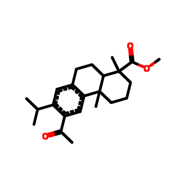 COC(=O)C1(C)CCCC2(C)c3cc(C(C)=O)c(C(C)C)cc3CCC12